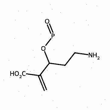 C=C(C(=O)O)C(CCN)OP=O